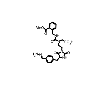 COC(=O)c1ccccc1CNC(=O)N(CCN1C(=O)NC(Cc2ccc(C=NN)cc2)C1=O)CC(=O)O